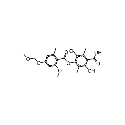 COCOc1cc(C)c(C(=O)Oc2c(C)c(O)c(C(=O)O)c(C)c2Cl)c(OC)c1